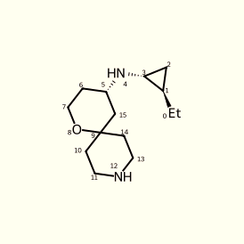 CC[C@@H]1C[C@H]1N[C@H]1CCOC2(CCNCC2)C1